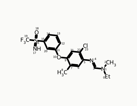 CCN(C)C=Nc1cc(C)c(Oc2cccc(S(=N)(=O)C(F)(F)F)c2)cc1Cl